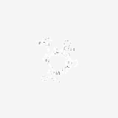 N=C(N)NCCC[C@@H]1NC(=O)[C@H](Cc2c[nH]c3ccccc23)NC(=O)[C@@H](CC2CCCCC2)NC(=O)[C@@H]2CCCN2C(=O)[C@@H](NC(=O)[C@@H](N)c2ccccc2)CCCNC1=O